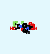 COc1c(N2C[C@@H](CO)[C@H](C(F)(F)F)C2)c(F)cc2c(=O)c(C(=O)O)cn(C3CC3)c12